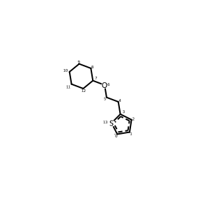 [c]1ccc(CCOC2CCCCC2)s1